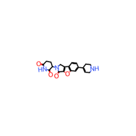 O=C1CCC(N2Cc3c(oc4cc(C5=CCNCC5)ccc34)C2=O)C(=O)N1